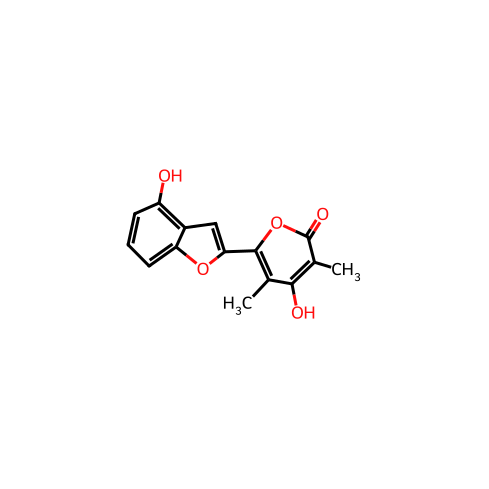 Cc1c(-c2cc3c(O)cccc3o2)oc(=O)c(C)c1O